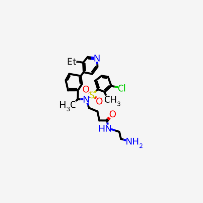 CCc1cnccc1-c1cccc(C(C)N(CCCC(=O)NCCN)S(=O)(=O)c2cccc(Cl)c2C)c1